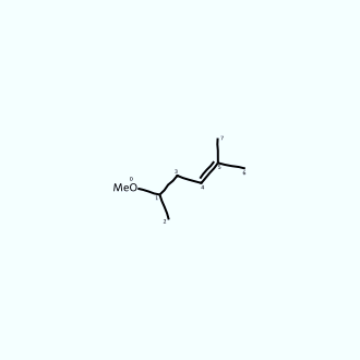 COC(C)CC=C(C)C